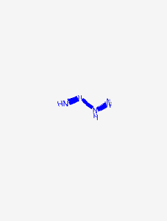 [N]NN=N